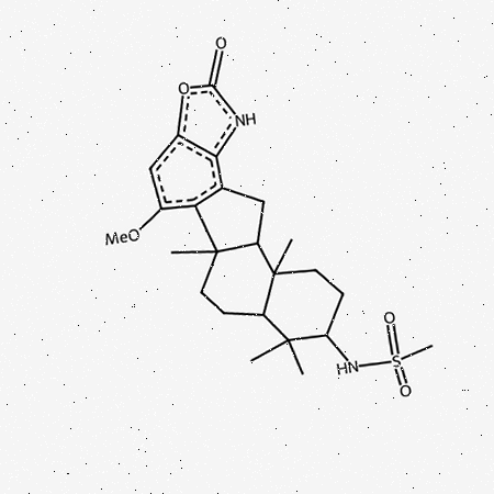 COc1cc2oc(=O)[nH]c2c2c1C1(C)CCC3C(C)(C)C(NS(C)(=O)=O)CCC3(C)C1C2